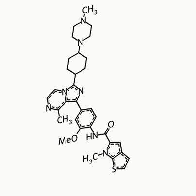 COc1cc(-c2nc(C3CCC(N4CCN(C)CC4)CC3)n3ccnc(C)c23)ccc1NC(=O)c1cc2ccsc2n1C